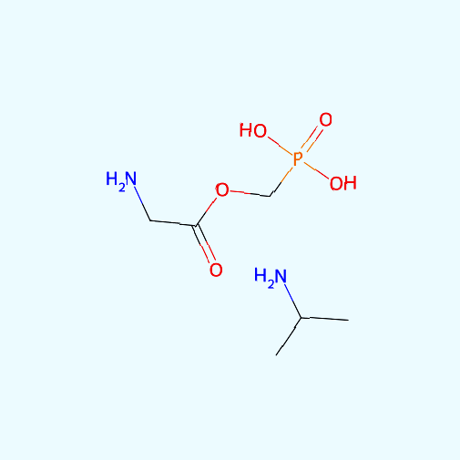 CC(C)N.NCC(=O)OCP(=O)(O)O